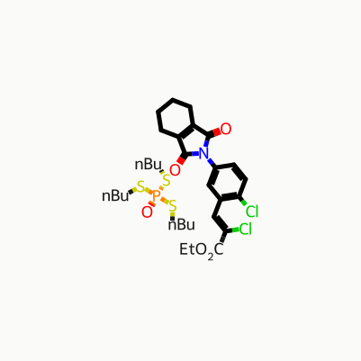 CCCCSP(=O)(SCCCC)SCCCC.CCOC(=O)/C(Cl)=C/c1cc(N2C(=O)C3=C(CCCC3)C2=O)ccc1Cl